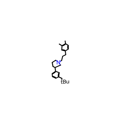 Cc1ccc(CCCN2CCCC(c3cccc(CC(C)(C)C)c3)C2)cc1C